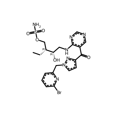 CC[C@H](COS(N)(=O)=O)[C@@H](O)CNc1ncncc1C(=O)c1ccn(Cc2cccc(Br)n2)n1